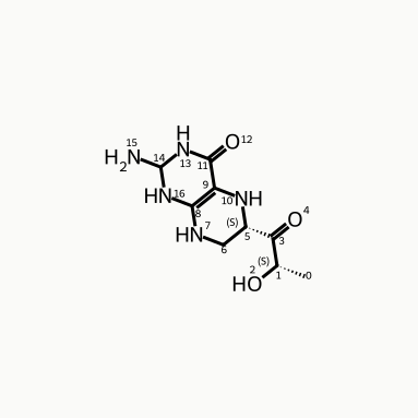 C[C@H](O)C(=O)[C@@H]1CNC2=C(N1)C(=O)NC(N)N2